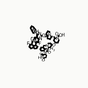 C#Cc1c(F)ccc2cccc(-c3ncc4c(N5CC6CCC(C5)N6)nc(OC[C@@]56CCCN5[C@H](CC5CC(OC7CCN(Cc8cccc9c8n(C)c(=O)n9C8CCC(=O)NC8=O)CC7)CCN5C(=O)O)CC6)nc4c3F)c12